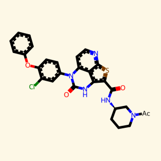 CC(=O)N1CCC[C@@H](NC(=O)c2sc3nccc4c3c2NC(=O)N4c2ccc(Oc3ccccc3)c(Cl)c2)C1